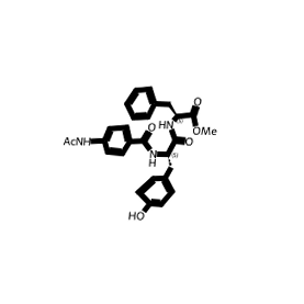 COC(=O)[C@H](Cc1ccccc1)NC(=O)[C@H](Cc1ccc(O)cc1)NC(=O)c1ccc(NC(C)=O)cc1